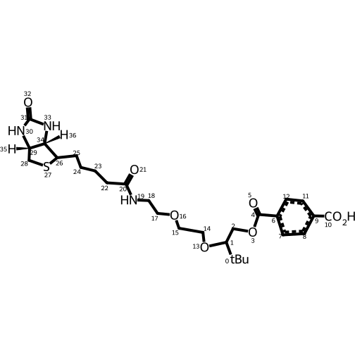 CC(C)(C)C(COC(=O)c1ccc(C(=O)O)cc1)OCCOCCNC(=O)CCCCC1SC[C@@H]2NC(=O)N[C@H]12